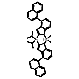 CC(C)[Si]1(C(C)C)C2=Cc3c(-c4cccc5ccccc45)cccc3[CH]2[Hf]([CH3])([CH3])[CH]2C1=Cc1c(-c3cccc4ccccc34)cccc12